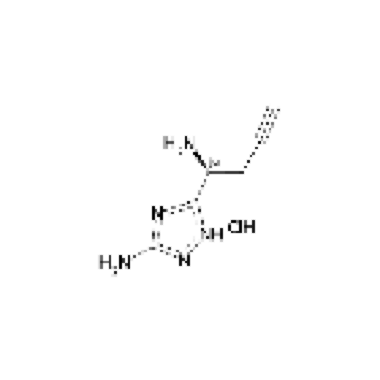 C#CC[C@H](N)c1nc(N)n[nH]1.Cl